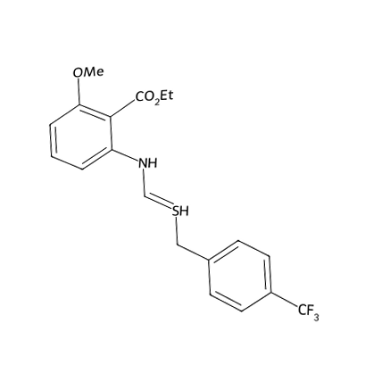 CCOC(=O)c1c(NC=[SH]Cc2ccc(C(F)(F)F)cc2)cccc1OC